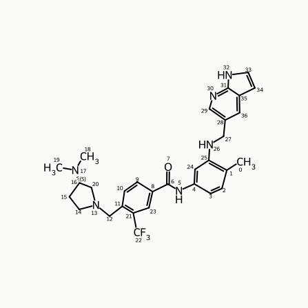 Cc1ccc(NC(=O)c2ccc(CN3CC[C@H](N(C)C)C3)c(C(F)(F)F)c2)cc1NCc1cnc2[nH]ccc2c1